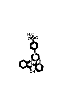 CS(=O)(=O)c1ccc(N2CCN(C3(n4nc5c(c4O)CCCC5)C=CC=CN3)CC2)cc1